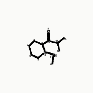 CNN1CCCCC1C(=O)C(C)C